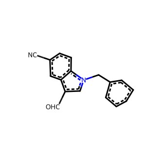 N#Cc1ccc2c(c1)c(C=O)cn2Cc1ccccc1